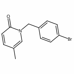 Cc1ccc(=O)n(Cc2ccc(Br)cc2)c1